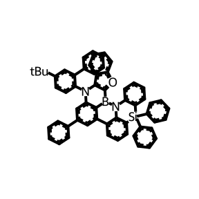 CC(C)(C)c1ccc(N2c3cc(-c4ccccc4)cc4c3B(c3oc5ccccc5c32)N2c3ccccc3[Si](c3ccccc3)(c3ccccc3)c3cccc-4c32)c(-c2ccccc2)c1